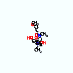 C=CCN1CC[C@]23c4c5ccc(O)c4OC2C(N(C)C(=O)CCc2cccc(OC)c2)CC[C@@]3(O)[C@H]1C5